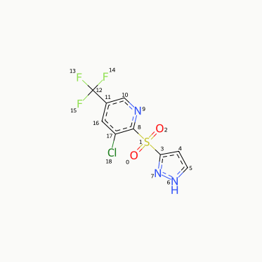 O=S(=O)(c1cc[nH]n1)c1ncc(C(F)(F)F)cc1Cl